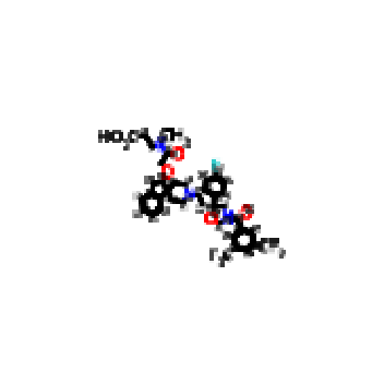 CN(CCC(=O)O)C(=O)CO[C@H]1Cc2ccccc2C12CCN(CC[C@]1(c3ccc(F)cc3)CN(C(=O)c3cc(C(F)(F)F)cc(C(F)(F)F)c3)CO1)CC2